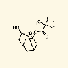 CCC(C)(C)C(=O)OC12CC3CC(C1)C(O)C(O)(C3)C2